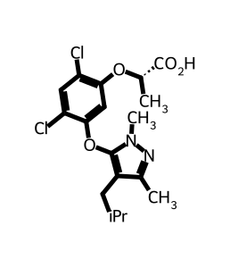 Cc1nn(C)c(Oc2cc(O[C@@H](C)C(=O)O)c(Cl)cc2Cl)c1CC(C)C